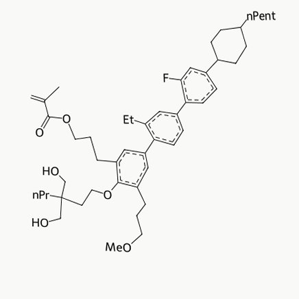 C=C(C)C(=O)OCCCc1cc(-c2ccc(-c3ccc(C4CCC(CCCCC)CC4)cc3F)cc2CC)cc(CCCOC)c1OCCC(CO)(CO)CCC